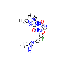 CCc1nc2c(cnn2CC)c(NC2CCOCC2)c1CNC(=O)c1cc(C(=O)NCc2ccc(F)c(-c3cccc(CN4CCN[C@@H](C)C4)c3)c2)ccn1